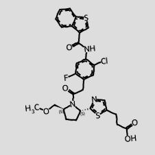 COC[C@@H]1CC[C@@H](c2ncc(CCC(=O)O)s2)N1C(=O)Cc1cc(Cl)c(NC(=O)c2csc3ccccc23)cc1F